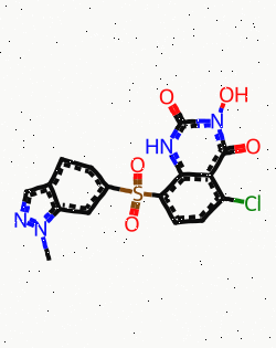 Cn1ncc2ccc(S(=O)(=O)c3ccc(Cl)c4c(=O)n(O)c(=O)[nH]c34)cc21